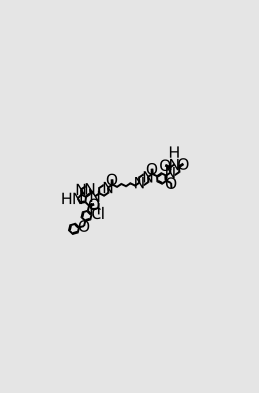 COc1ccc(C(=O)N2CCN(CCCCCC(=O)N3CCC(Nc4ncnc5[nH]cc(C(=O)c6ccc(Oc7ccccc7)cc6Cl)c45)CC3)CC2)cc1N1CCC(=O)NC1=O